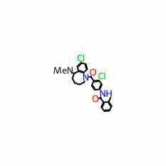 CNC1CCCCN(C(=O)c2ccc(NC(=O)c3ccccc3C)cc2Cl)c2ccc(Cl)cc21